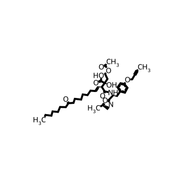 CC#CCOc1ccc(C[C@H](NC(=O)[C@@H](C=CCCCCCCC(=O)CCCCCCC)[C@@](O)(CCOC(C)=O)C(=O)O)c2ncc(C)o2)cc1